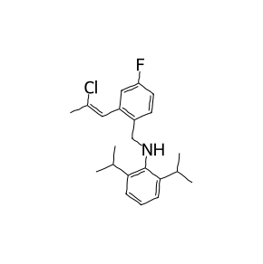 C/C(Cl)=C/c1cc(F)ccc1CNc1c(C(C)C)cccc1C(C)C